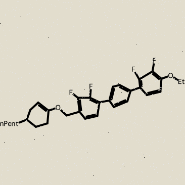 CCCCCC1CC=C(OCc2ccc(-c3ccc(-c4ccc(OCC)c(F)c4F)cc3)c(F)c2F)CC1